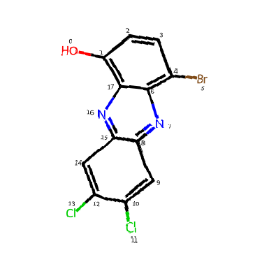 Oc1ccc(Br)c2nc3cc(Cl)c(Cl)cc3nc12